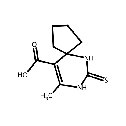 CC1=C(C(=O)O)C2(CCCC2)NC(=S)N1